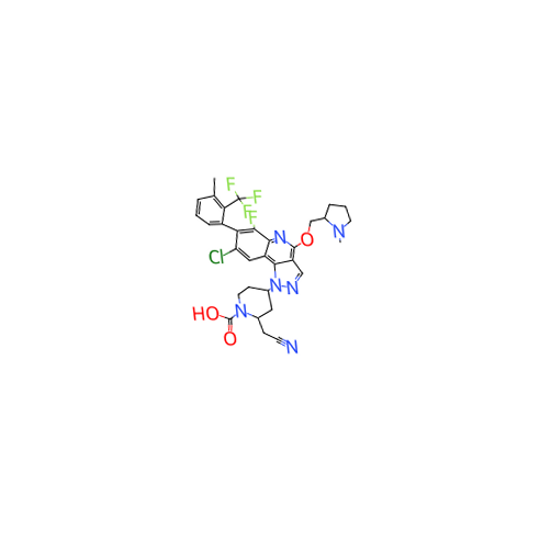 Cc1cccc(-c2c(Cl)cc3c(nc(OCC4CCCN4C)c4cnn(C5CCN(C(=O)O)C(CC#N)C5)c43)c2F)c1C(F)(F)F